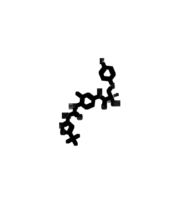 Cc1cc(NC(=O)[C@](C)(O)CSc2ccc(F)cc2)ccc1NC(=O)Nc1cc(C(C)(C)C)on1